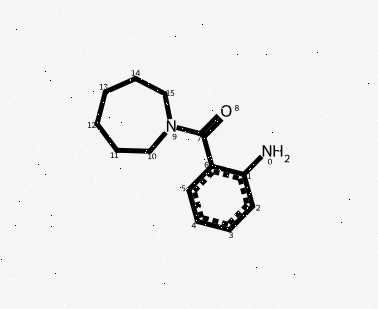 Nc1ccccc1C(=O)N1CCCCCC1